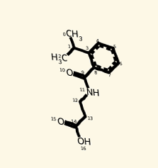 CC(C)c1cc[c]cc1C(=O)NCCC(=O)O